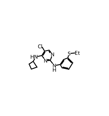 CCSc1cccc(Nc2ncc(Cl)c(NC3CCC3)n2)c1